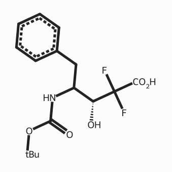 CC(C)(C)OC(=O)NC(Cc1ccccc1)[C@@H](O)C(F)(F)C(=O)O